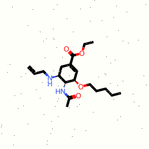 C=CCN[C@H]1CC(C(=O)OCC)=C[C@@H](OCCCCC)[C@@H]1NC(C)=O